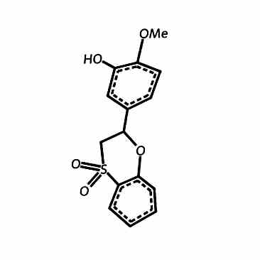 COc1ccc(C2CS(=O)(=O)c3ccccc3O2)cc1O